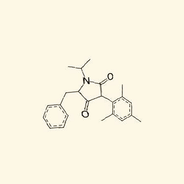 Cc1cc(C)c(C2C(=O)C(Cc3ccccc3)N(C(C)C)C2=O)c(C)c1